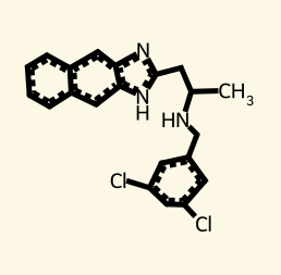 CC(Cc1nc2cc3ccccc3cc2[nH]1)NCc1cc(Cl)cc(Cl)c1